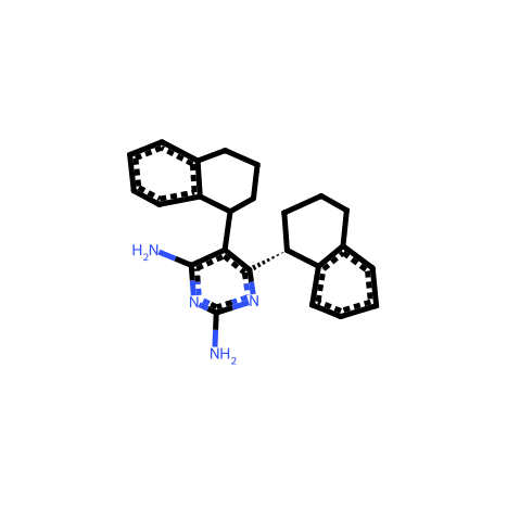 Nc1nc(N)c(C2CCCc3ccccc32)c([C@@H]2CCCc3ccccc32)n1